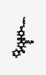 CC#CCOc1ccc(S(=O)(=O)N2CCN(C(=O)N3CCOCC3)CC2C(=O)OCC)cc1